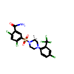 C[C@@H]1CN(c2ccc(F)cc2C(F)(F)F)CCN1S(=O)(=O)c1cc(C(N)=O)c(F)cc1Cl